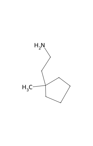 CC1(CCN)CCCC1